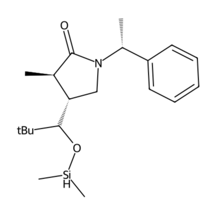 C[C@H](c1ccccc1)N1C[C@H](C(O[SiH](C)C)C(C)(C)C)[C@@H](C)C1=O